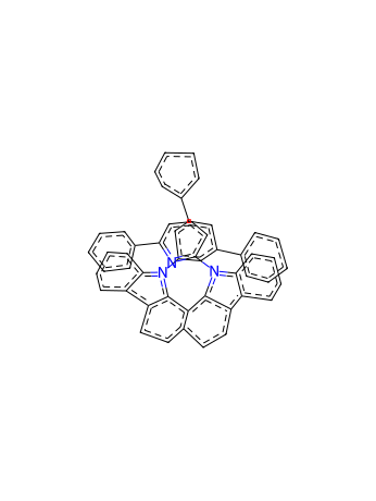 c1ccc(-c2cc(-c3ccccc3)cc(-n3c4ccccc4c4ccc5ccc6c7ccccc7n(-c7cccc(-c8ccccc8)n7)c6c5c43)c2)cc1